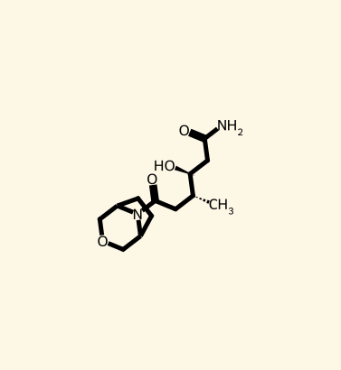 C[C@H](CC(=O)N1C2CCC1COC2)[C@@H](O)CC(N)=O